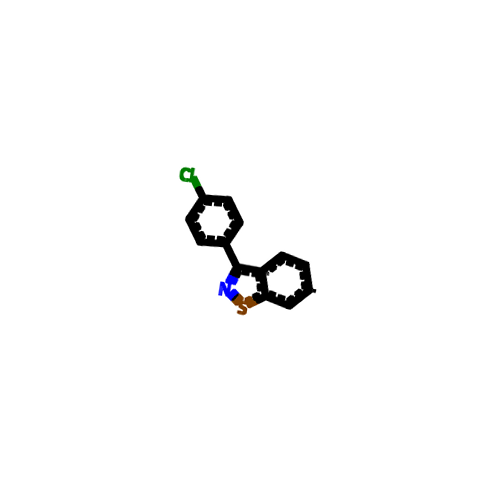 Clc1ccc(-c2nsc3c[c]ccc23)cc1